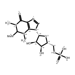 CNC1N(C)C(=O)c2ncn([C@@H]3O[C@H](COP(=O)(O)O)[C@@H](O)[C@H]3O)c2N1C